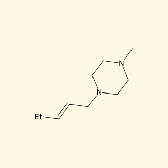 CC/C=C/CN1CCN(C)CC1